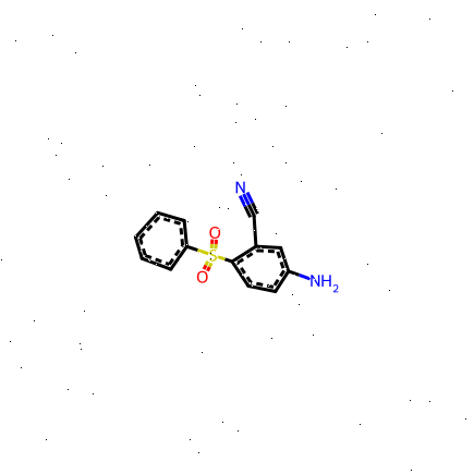 N#Cc1cc(N)ccc1S(=O)(=O)c1ccccc1